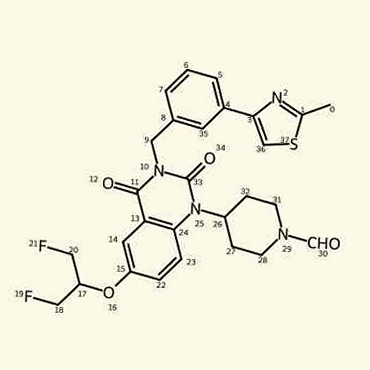 Cc1nc(-c2cccc(Cn3c(=O)c4cc(OC(CF)CF)ccc4n(C4CCN(C=O)CC4)c3=O)c2)cs1